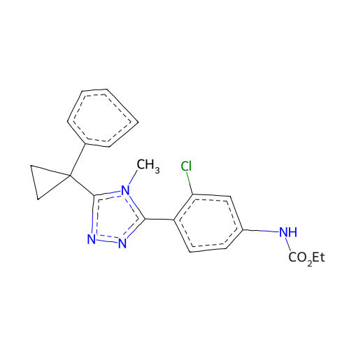 CCOC(=O)Nc1ccc(-c2nnc(C3(c4ccccc4)CC3)n2C)c(Cl)c1